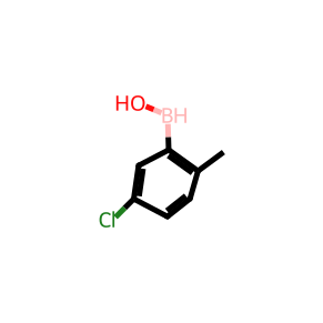 Cc1ccc(Cl)cc1BO